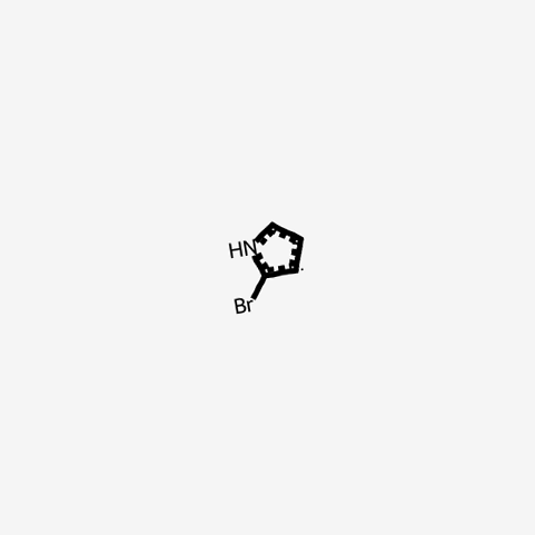 Brc1[c]cc[nH]1